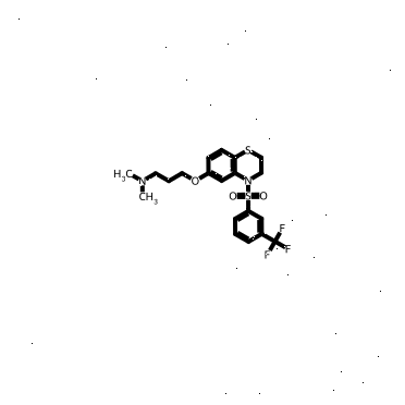 CN(C)CCCOc1ccc2c(c1)N(S(=O)(=O)c1cccc(C(F)(F)F)c1)CCS2